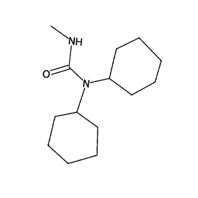 CNC(=O)N(C1CCCCC1)C1CCCCC1